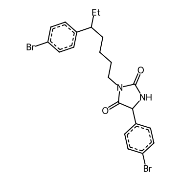 CCC(CCCCN1C(=O)NC(c2ccc(Br)cc2)C1=O)c1ccc(Br)cc1